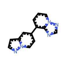 [c]1c(-c2cccn3ncnc23)ccn2nccc12